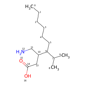 CCCCCCC(C(C)C)C(CN)CC(=O)O